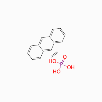 C=C.O=P(O)(O)O.c1ccc2cc3ccccc3cc2c1